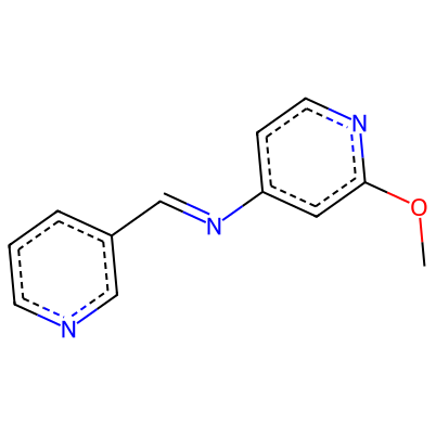 COc1cc(/N=C/c2cccnc2)ccn1